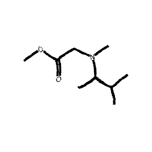 COC(=O)CN(C)C(C)C(C)C